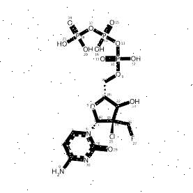 Nc1ccn([C@@H]2O[C@H](COP(=O)(O)OP(=O)(O)OP(=O)(O)O)C(O)[C@]2(Cl)CF)c(=O)n1